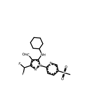 CS(=O)(=O)c1ccc(-n2nc(C(F)F)c(C=O)c2NC2CCCCC2)nc1